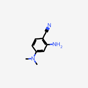 CN(C)c1ccc(C#N)c(N)c1